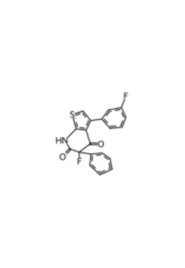 O=C1Nc2scc(-c3cccc(F)c3)c2C(=O)C1(F)c1ccccc1